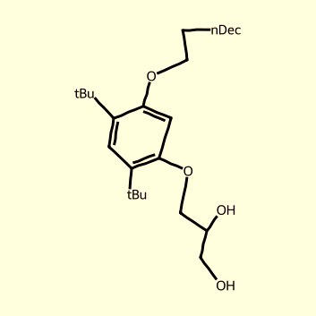 CCCCCCCCCCCCOc1cc(OCC(O)CO)c(C(C)(C)C)cc1C(C)(C)C